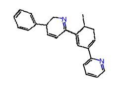 CC1CC=C(c2ccccn2)C=C1C1=NCC(c2ccccc2)C=C1